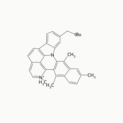 Cc1ccc2c(C)c3c(c(C)c2c1)n1c2cc(CC(C)(C)C)ccc2c2ccc4cc[n+](C)c3c4c21